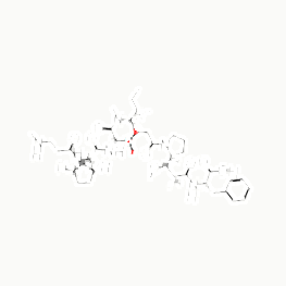 CC[C@H](C)[C@@H]([C@@H](CC(=O)N1CCC[C@H]1[C@H](OC)[C@@H](C)C(=O)N[C@@H](Cc1ccccc1)C(=O)O)OC)N(C)C(=O)[C@@H](NC(=O)[C@@H]1[C@H]2CC[C@@H]([C@H]2C)N1C(=O)CCNC)C(C)C